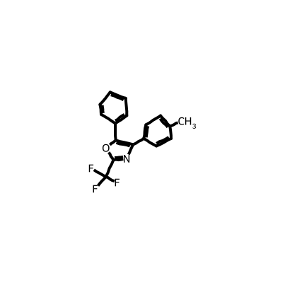 Cc1ccc(-c2nc(C(F)(F)F)oc2-c2ccccc2)cc1